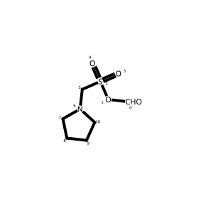 O=COS(=O)(=O)CN1CCCC1